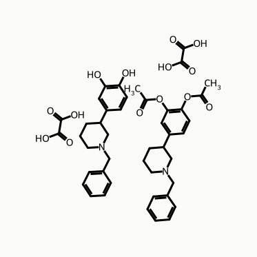 CC(=O)Oc1ccc(C2CCCN(Cc3ccccc3)C2)cc1OC(C)=O.O=C(O)C(=O)O.O=C(O)C(=O)O.Oc1ccc(C2CCCN(Cc3ccccc3)C2)cc1O